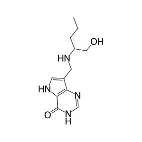 CCCC(CO)NCc1c[nH]c2c(=O)[nH]cnc12